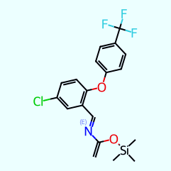 C=C(/N=C/c1cc(Cl)ccc1Oc1ccc(C(F)(F)F)cc1)O[Si](C)(C)C